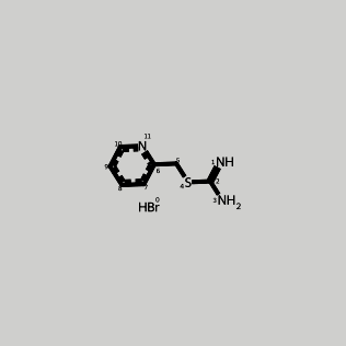 Br.N=C(N)SCc1ccccn1